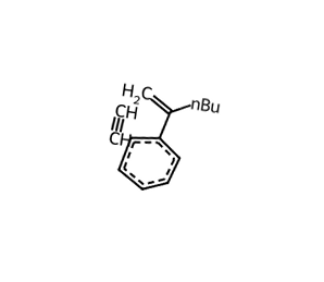 C#C.C=C(CCCC)c1ccccc1